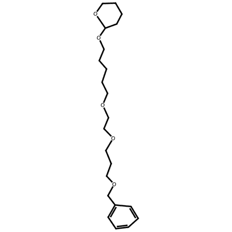 c1ccc(COCCCOCCOCCCCCOC2CCCCO2)cc1